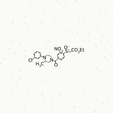 CCOC(=O)C[S+]([O-])c1ccc(C(=O)N2CCN(c3cccc(Cl)c3)C(C)C2)cc1[N+](=O)[O-]